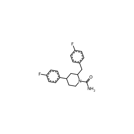 NC(=O)N1CCC(c2ccc(F)cc2)CC1Cc1ccc(F)cc1